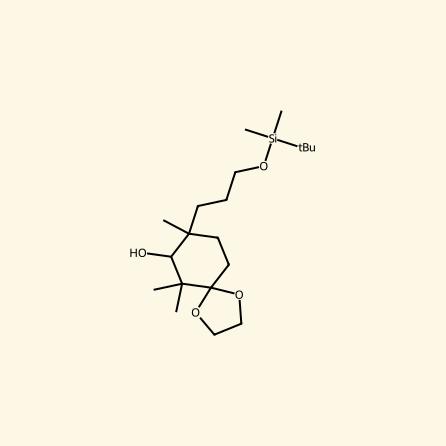 CC1(CCCO[Si](C)(C)C(C)(C)C)CCC2(OCCO2)C(C)(C)C1O